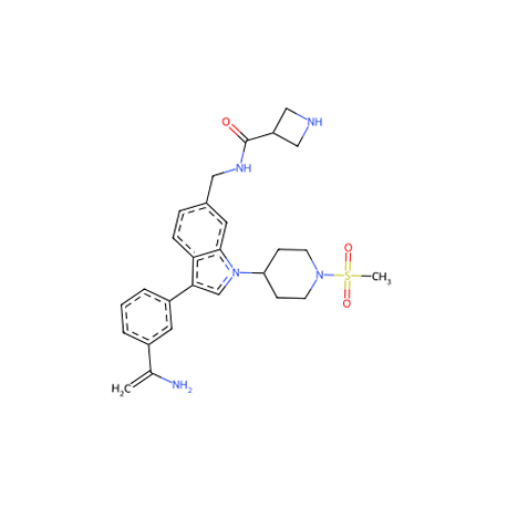 C=C(N)c1cccc(-c2cn(C3CCN(S(C)(=O)=O)CC3)c3cc(CNC(=O)C4CNC4)ccc23)c1